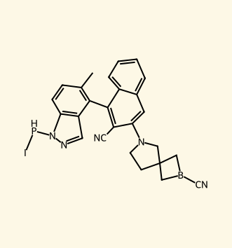 Cc1ccc2c(cnn2PI)c1-c1c(C#N)c(N2CCC3(CB(C#N)C3)C2)cc2ccccc12